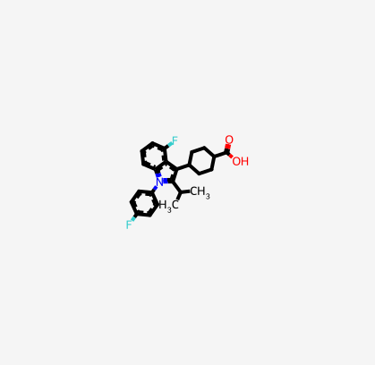 CC(C)c1c(C2CCC(C(=O)O)CC2)c2c(F)cccc2n1-c1ccc(F)cc1